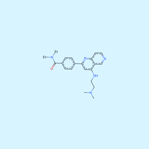 CCN(CC)C(=O)c1ccc(-c2cc(NCCN(C)C)c3cnccc3n2)cc1